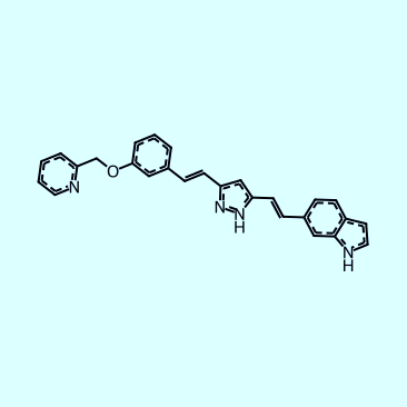 C(=C\c1cc(/C=C/c2ccc3cc[nH]c3c2)[nH]n1)/c1cccc(OCc2ccccn2)c1